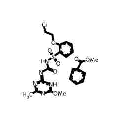 COC(=O)c1ccccc1.COc1nc(C)nc(=NC(=O)NS(=O)(=O)c2ccccc2OCCCl)[nH]1